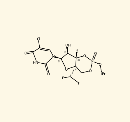 CC(C)OP1(=O)OC[C@@]2(C(F)F)O[C@@H](n3cc(Cl)c(=O)[nH]c3=O)[C@@H](O)[C@@H]2O1